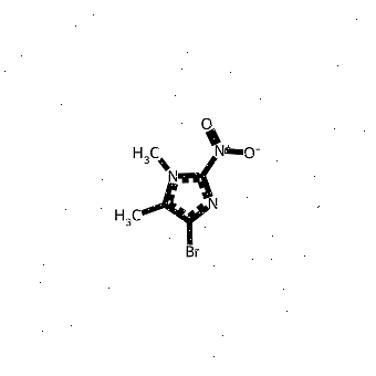 Cc1c(Br)nc([N+](=O)[O-])n1C